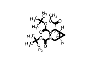 COC(=O)[C@@H]1[C@H]2C[C@H]2CN(C(=O)OC(C)(C)C)N1C(=O)OC(C)(C)C